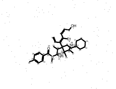 C=C/C(=C(\C=C/CO)CC)C(CCC1CCCCC1)(C(C)C(CCC)N(C)C(=O)c1ccc(C)cc1)C(C)(O)C(C)N